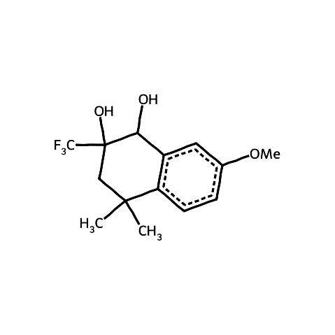 COc1ccc2c(c1)C(O)C(O)(C(F)(F)F)CC2(C)C